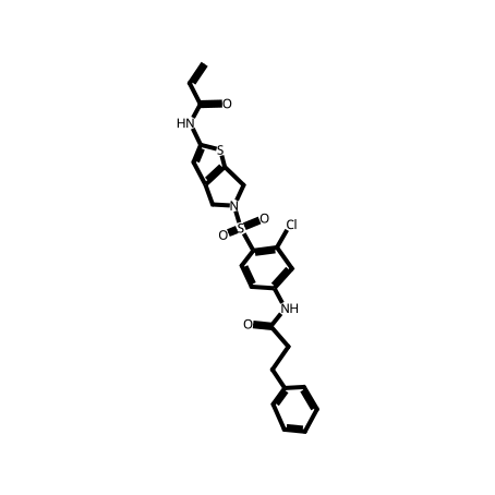 C=CC(=O)Nc1cc2c(s1)CN(S(=O)(=O)c1ccc(NC(=O)CCc3ccccc3)cc1Cl)C2